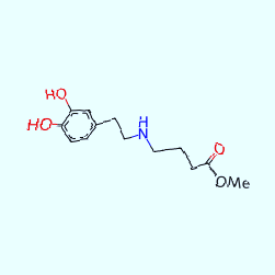 COC(=O)CCCNCCc1ccc(O)c(O)c1